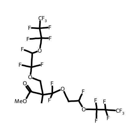 COC(=O)C(C)(COC(F)(F)C(F)OC(F)(F)C(F)(F)C(F)(F)F)C(F)(F)OCC(F)OC(F)(F)C(F)(F)C(F)(F)F